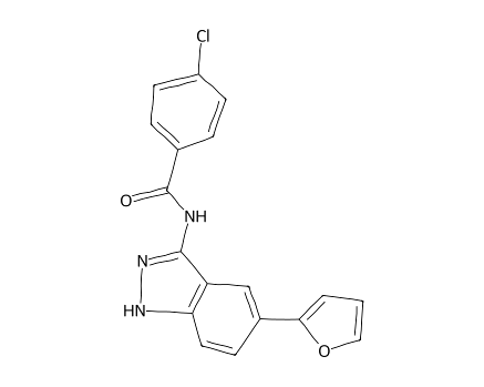 O=C(Nc1n[nH]c2ccc(-c3ccco3)cc12)c1ccc(Cl)cc1